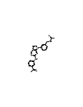 CC(=O)NCc1cccc(-n2nnc3cnc(Nc4cccc(C(C)=O)c4)nc32)c1